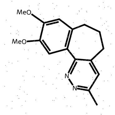 COc1cc2c(cc1OC)-c1nnc(C)cc1CCC2